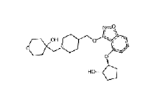 O[C@H]1CCC[C@@H]1Oc1cccc2onc(OCC3CCN(CC4(O)CCOCC4)CC3)c12